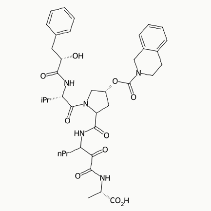 CCCC(NC(=O)C1C[C@@H](OC(=O)N2CCc3ccccc3C2)CN1C(=O)[C@@H](NC(=O)[C@@H](O)Cc1ccccc1)C(C)C)C(=O)C(=O)N[C@@H](C)C(=O)O